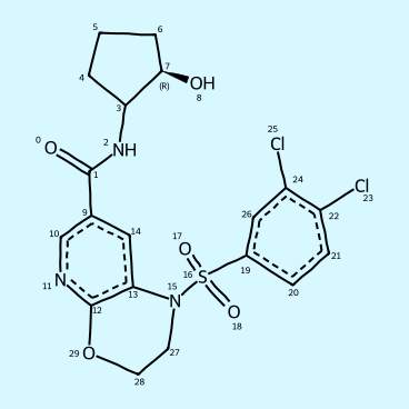 O=C(NC1CCC[C@H]1O)c1cnc2c(c1)N(S(=O)(=O)c1ccc(Cl)c(Cl)c1)CCO2